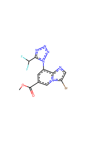 COC(=O)c1cc(-n2nnnc2C(F)F)c2ncc(Br)n2c1